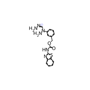 N/N=C\N(N)c1cccc(COC(=O)Nc2nc3ccccc3s2)c1